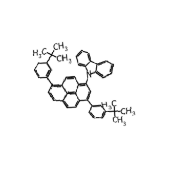 CC(C)(C)c1cccc(-c2cc(-n3c4ccccc4c4ccccc43)c3ccc4c(C5=CC(C(C)(C)C)CC=C5)ccc5ccc2c3c54)c1